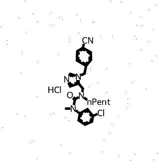 CCCCCN(Cc1cncn1Cc1ccc(C#N)cc1)C(=O)N(C)c1cccc(Cl)c1.Cl